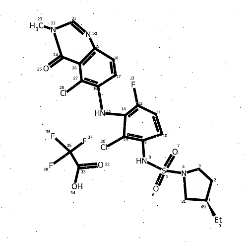 CC[C@@H]1CCN(S(=O)(=O)Nc2ccc(F)c(Nc3ccc4ncn(C)c(=O)c4c3Cl)c2Cl)C1.O=C(O)C(F)(F)F